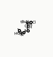 Cc1ccc(-c2nnc3ccc(Sc4ccccc4CNC(=O)Nc4cc(C(C)(C)C)nn4-c4ccc(Cl)cc4)cn23)c(O)c1